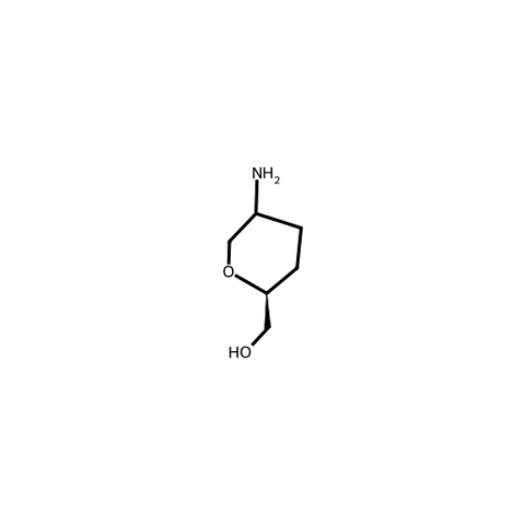 NC1CC[C@@H](CO)OC1